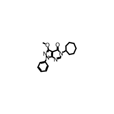 COc1nn(-c2ccccc2)c2ncn(C3CCCCCC3)c(=O)c12